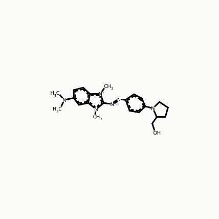 CN(C)c1ccc2c(c1)n(C)c(/N=N/c1ccc(N3CCCC3CO)cc1)[n+]2C